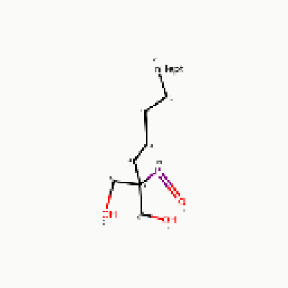 CCCCCCCCCCCC(CO)(CO)P=O